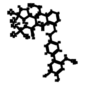 COC(=O)c1cccc(COc2ccc(-c3cc(F)c(F)cc3OC)cc2)c1NN(CC1COC(C)(C)O1)C(=O)OC(C)(C)C